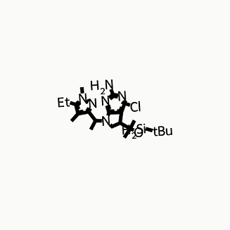 CCc1c(C)c(C(C)N2CC(C(C)(C)O[SiH2]C(C)(C)C)c3c(Cl)nc(N)nc32)nn1C